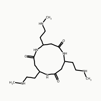 CNCCC1CC(=O)NC(CCNC)CC(=O)NC(CCNC)CC(=O)N1